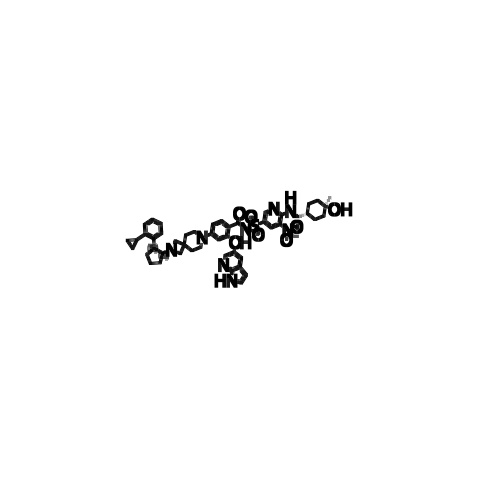 C[C@]1(O)CC[C@H](CNc2ncc(S(=O)(=O)NC(=O)c3ccc(N4CCC5(CC4)CN([C@H]4CCC[C@H]4c4ccccc4C4CC4)C5)cc3Oc3cnc4[nH]ccc4c3)cc2[N+](=O)[O-])CC1